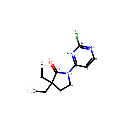 CCC1(CC)CCN(c2ccnc(Cl)n2)C1=O